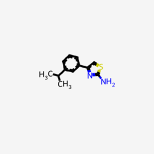 CC(C)c1cccc(-c2csc(N)n2)c1